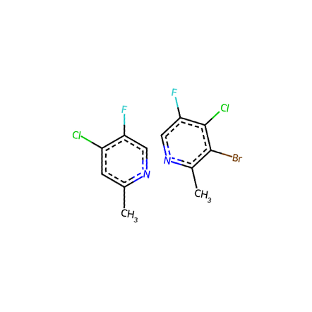 Cc1cc(Cl)c(F)cn1.Cc1ncc(F)c(Cl)c1Br